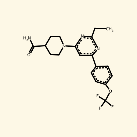 CCc1nc(-c2ccc(OC(F)(F)F)cc2)cc(N2CCC(C(N)=O)CC2)n1